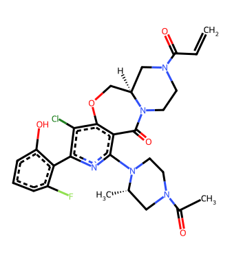 C=CC(=O)N1CCN2C(=O)c3c(N4CCN(C(C)=O)C[C@@H]4C)nc(-c4c(O)cccc4F)c(Cl)c3OC[C@H]2C1